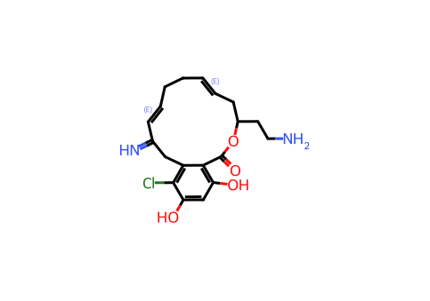 N=C1/C=C/CC/C=C/CC(CCN)OC(=O)c2c(O)cc(O)c(Cl)c2C1